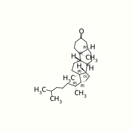 CC(C)CCC[C@@H](C)[C@H]1CC[C@H]2[C@@H]3CC[C@@H]4CC(=O)CC[C@]4(C)[C@H]3CC[C@]12C